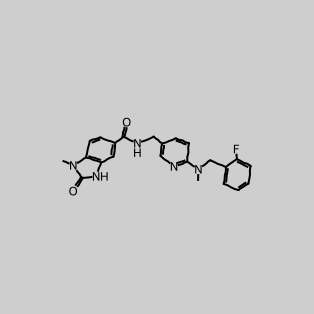 CN(Cc1ccccc1F)c1ccc(CNC(=O)c2ccc3c(c2)[nH]c(=O)n3C)cn1